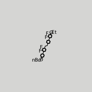 CCCCOc1ccc(-c2ccc(CCc3ccc(-c4ccc(OCC)c(F)c4F)cc3)c(F)c2F)cc1